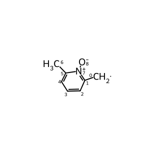 [CH2]c1cccc(C)[n+]1[O-]